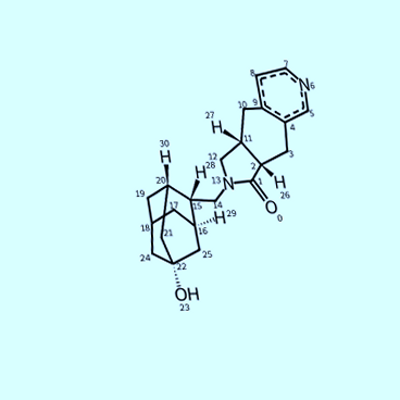 O=C1[C@H]2Cc3cnccc3C[C@H]2CN1C[C@@H]1[C@@H]2CC3C[C@H]1C[C@](O)(C3)C2